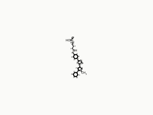 Cn1nc(-c2nc(-c3ccc(CNCCCO[PH](=O)O)cc3)no2)cc1-c1ccccc1